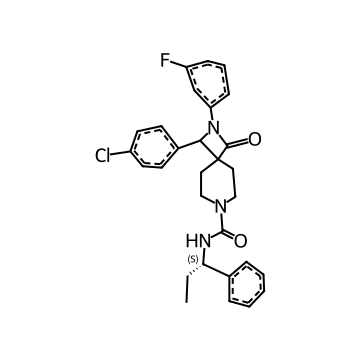 CC[C@H](NC(=O)N1CCC2(CC1)C(=O)N(c1cccc(F)c1)C2c1ccc(Cl)cc1)c1ccccc1